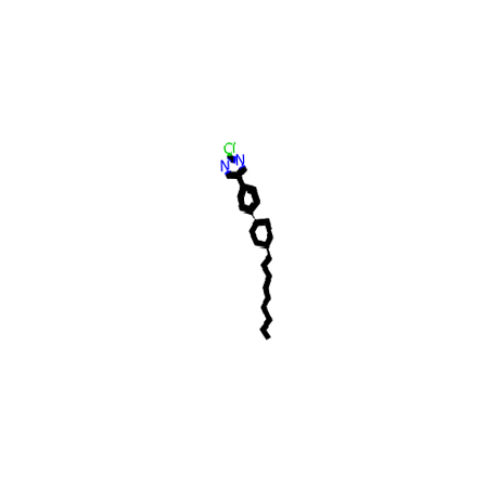 CCCCCCCCC[C@H]1CC[C@H](c2ccc(-c3cnc(Cl)nc3)cc2)CC1